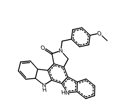 COc1ccc(CN2Cc3c(c4c(c5[nH]c6ccccc6c35)NC3C=CC=CC43)C2=O)cc1